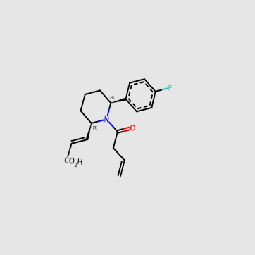 C=CCC(=O)N1[C@@H](C=CC(=O)O)CCC[C@H]1c1ccc(F)cc1